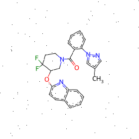 Cc1cnn(-c2ccccc2C(=O)N2CCC(F)(F)C(Oc3ccc4ccccc4n3)C2)c1